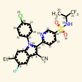 CCc1cc2c(cc1F)c(C#N)c(-c1ccc(S(=O)(=O)NC(C)C(F)(F)F)cn1)n2-c1ccc(Cl)cc1